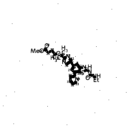 CCNC(=O)Nc1nc2cc(-c3cnc(C(C)(C)OC(=O)CCC(=O)OC)nc3)cc(-c3ccccn3)c2s1